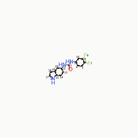 O=C(Nc1ccc(F)c(F)c1)Nc1ccc2[nH]ccc2c1